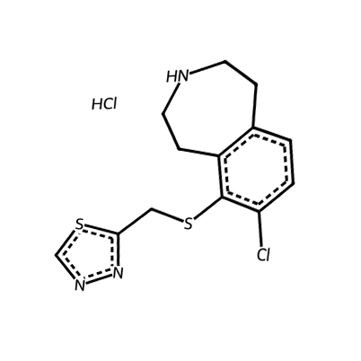 Cl.Clc1ccc2c(c1SCc1nncs1)CCNCC2